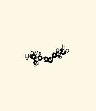 COc1cc(N2CCC(N3CCC4(CCCN(c5ccc6c(c5)C(=O)N(C5CCC(=O)NC5=O)C6=O)C4)CC3)CC2)c(-c2cnn(C)c2)cc1N